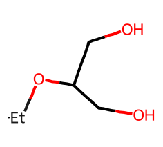 C[CH]OC(CO)CO